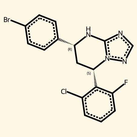 Fc1cccc(Cl)c1[C@@H]1C[C@H](c2ccc(Br)cc2)Nc2ncnn21